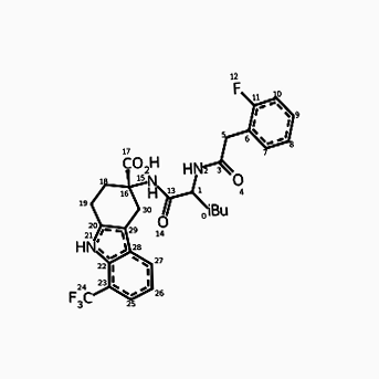 CCC(C)C(NC(=O)Cc1ccccc1F)C(=O)N[C@@]1(C(=O)O)CCc2[nH]c3c(C(F)(F)F)cccc3c2C1